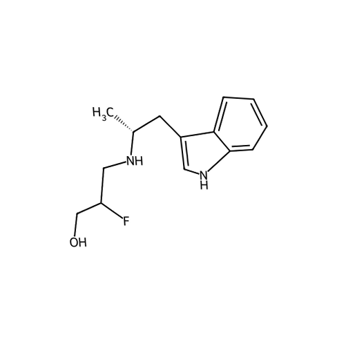 C[C@H](Cc1c[nH]c2ccccc12)NCC(F)CO